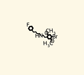 COc1cc(CCNCCCCc2ccc(F)cc2)c(OC)cc1Br